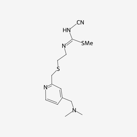 CS/C(=N\CCSCc1cc(CN(C)C)ccn1)NC#N